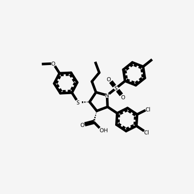 CCCC1[C@@H](Sc2ccc(OC)cc2)[C@@H](C(=O)O)C(c2ccc(Cl)c(Cl)c2)N1S(=O)(=O)c1ccc(C)cc1